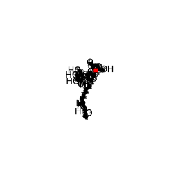 C=CC(=O)NCc1cn(CCCCCCNCC2OC3OC4C(CO)OCC(N=O)C4OC3C(O)C2OC2OC(CO)C(O)C(O)C2O)nn1